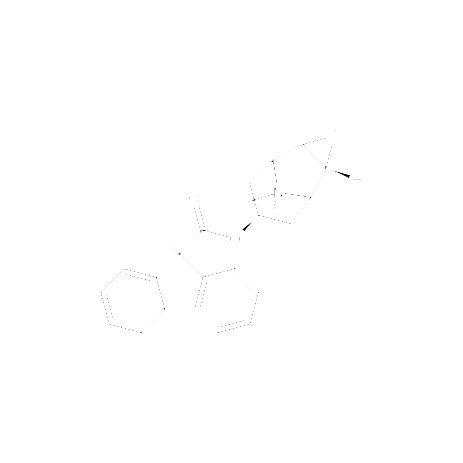 CC(C(=O)O[C@H]1CC2C3O[C@@H]3C(C1)[N+]2(C)C)(c1ccccc1)c1ccccc1